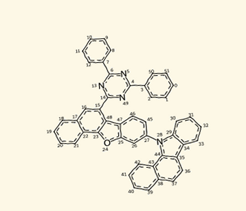 c1ccc(-c2nc(-c3ccccc3)nc(-c3cc4ccccc4c4oc5cc(-n6c7ccccc7c7ccc8ccccc8c76)ccc5c34)n2)cc1